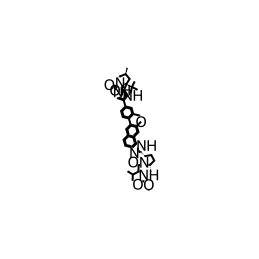 COC(=O)N[C@H](C(=O)N1[C@@H](C)CC[C@H]1c1nc2ccc3cc4c(cc3c2[nH]1)OCc1cc(-c2cnc([C@@]3(C(C)(C)C)C[C@H](C)CN3C(=O)O)[nH]2)ccc1-4)C(C)C